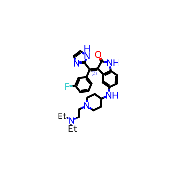 CCN(CC)CCN1CCC(Nc2ccc3c(c2)/C(=C(\c2cccc(F)c2)c2ncc[nH]2)C(=O)N3)CC1